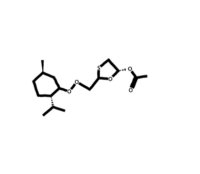 CC(=O)O[C@H]1CSC(COOC2C[C@H](C)CC[C@H]2C(C)C)O1